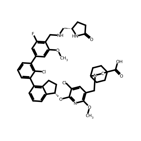 COc1cc(-c2cccc(-c3cccc4c3CC[C@@H]4Oc3nc(OC)c(CN4CC5(C(=O)O)CCC4CC5)cc3Cl)c2Cl)cc(F)c1CNC[C@@H]1CCC(=O)N1